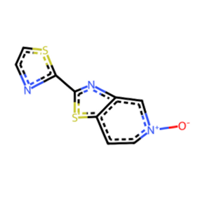 [O-][n+]1ccc2sc(-c3nccs3)nc2c1